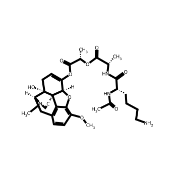 COc1ccc2c3c1O[C@@H]1C(OC(=O)[C@H](C)OC(=O)[C@H](C)NC(=O)[C@H](CCCCN)NC(C)=O)=CC[C@]4(O)[C@H](C2)N(C)CC[C@@]314